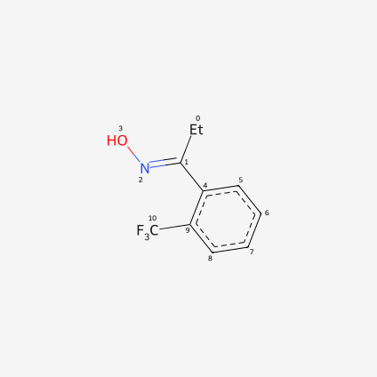 CCC(=NO)c1ccccc1C(F)(F)F